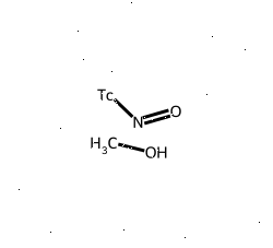 CO.O=[N][Tc]